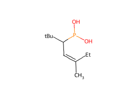 CC/C(C)=C\C(P(O)O)C(C)(C)C